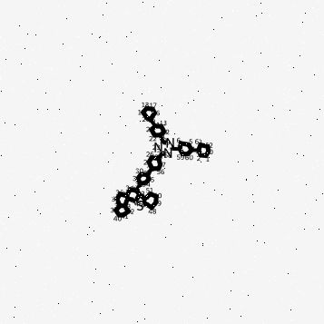 c1ccc(-c2ccc(-c3nc(-c4ccc(-c5ccccc5)cc4)nc(-c4ccc(-c5ccc(-c6cc7ccc8ccccc8c7c7sc8ccccc8c67)cc5)cc4)n3)cc2)cc1